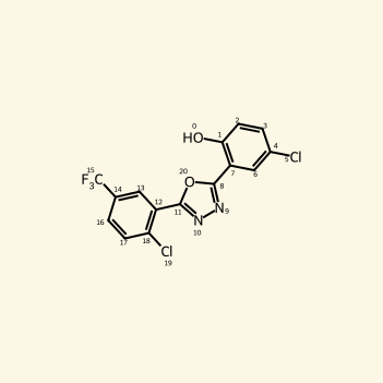 Oc1ccc(Cl)cc1-c1nnc(-c2cc(C(F)(F)F)ccc2Cl)o1